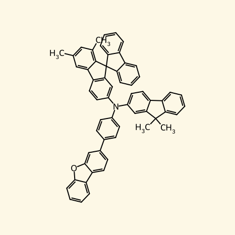 Cc1cc(C)c2c(c1)-c1ccc(N(c3ccc(-c4ccc5c(c4)oc4ccccc45)cc3)c3ccc4c(c3)C(C)(C)c3ccccc3-4)cc1C21c2ccccc2-c2ccccc21